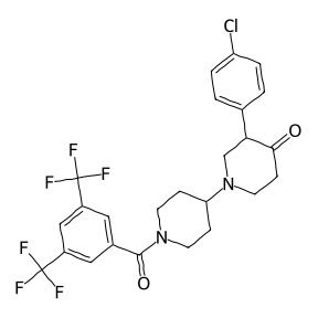 O=C1CCN(C2CCN(C(=O)c3cc(C(F)(F)F)cc(C(F)(F)F)c3)CC2)CC1c1ccc(Cl)cc1